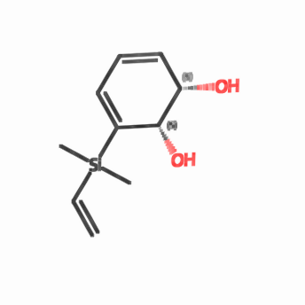 C=C[Si](C)(C)C1=CC=C[C@H](O)[C@@H]1O